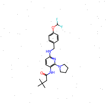 CC(C)(C)CC(=O)Nc1ccc(NCc2ccc(OC(F)F)cc2)nc1N1CCCC1